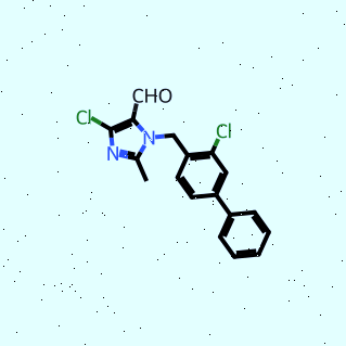 Cc1nc(Cl)c(C=O)n1Cc1ccc(-c2ccccc2)cc1Cl